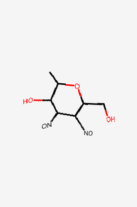 CC1OC(CO)C(N=O)C(N=O)C1O